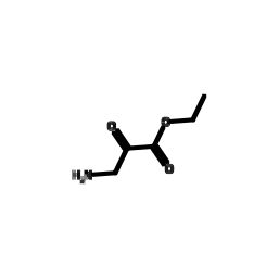 CCOC(=O)C(=O)CN